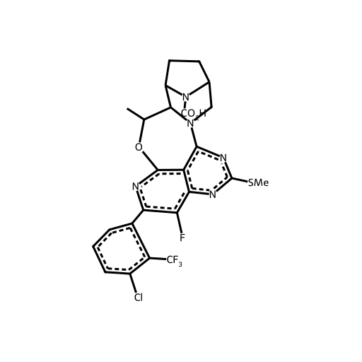 CSc1nc2c3c(nc(-c4cccc(Cl)c4C(F)(F)F)c(F)c3n1)OC(C)C1C3CCC(CN21)N3C(=O)O